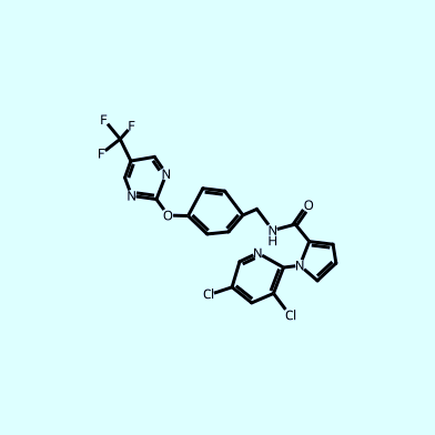 O=C(NCc1ccc(Oc2ncc(C(F)(F)F)cn2)cc1)c1cccn1-c1ncc(Cl)cc1Cl